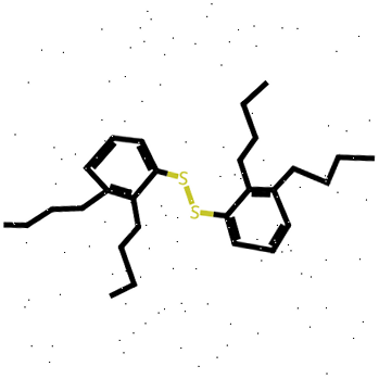 CCCCc1cccc(SSc2cccc(CCCC)c2CCCC)c1CCCC